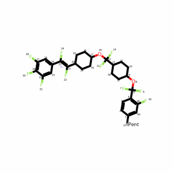 CCCCCc1ccc(C(F)(F)OC2CCC(C(F)(F)OC3CCC(/C(F)=C(\F)c4cc(F)c(F)c(F)c4)CC3)CC2)c(F)c1